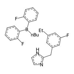 CCCCB(c1ccccc1F)c1ccccc1F.CCc1cc(F)cc(Cc2ncc[nH]2)c1